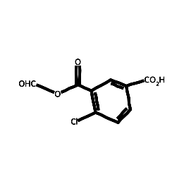 O=COC(=O)c1cc(C(=O)O)ccc1Cl